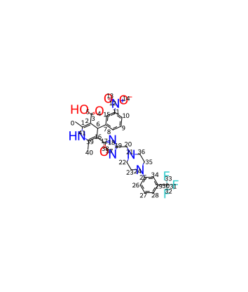 CC1=C(C(=O)O)C(c2cccc([N+](=O)[O-])c2)C(c2nc(CN3CCN(c4cccc(C(F)(F)F)c4)CC3)no2)=C(C)N1